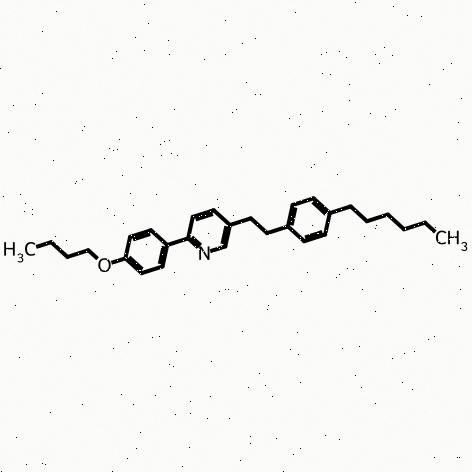 CCCCCCc1ccc(CCc2ccc(-c3ccc(OCCCC)cc3)nc2)cc1